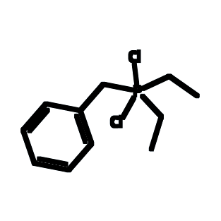 CCP(Cl)(Cl)(CC)Cc1ccccc1